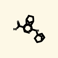 O=C(O)c1cnc(NC23CCC(CC2)C3)c2c1C1CCC2C1